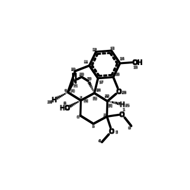 COC1(OC)CC[C@@]2(O)[C@H]3Cc4ccc(O)c5c4[C@@]2(CCN3)[C@H]1O5